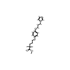 COC(=O)C(C)(C)CCCOc1ccc(OCCCn2ccnc2)cc1